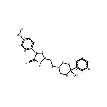 COc1ccc(N2CC(CCN3CCC(O)(c4ccccc4)CC3)OC2=O)cc1